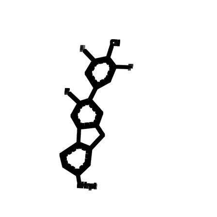 CCCCCCCc1ccc2c(c1)Cc1cc(-c3cc(F)c(C#N)c(F)c3)c(F)cc1-2